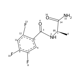 C[C@@H](NC(=O)c1cc(F)c(F)cc1F)C(N)=O